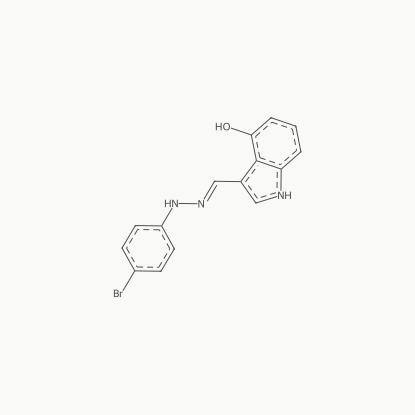 Oc1cccc2[nH]cc(C=NNc3ccc(Br)cc3)c12